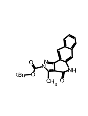 Cc1c2c(=O)[nH]c3cc4ccccc4cc3c2nn1C(=O)OC(C)(C)C